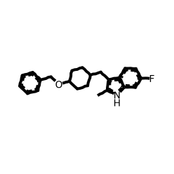 Cc1[nH]c2cc(F)ccc2c1CC1CCC(OCc2ccccc2)CC1